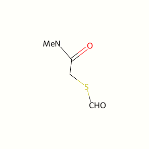 CNC(=O)CSC=O